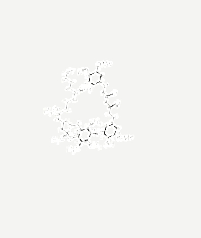 COc1cc(CCC(=O)CC(=O)CCc2ccc(O)c(OC)c2)ccc1O.Cc1c(C)c2c(c(C)c1O)CC[C@@](C)(CCC[C@H](C)CCC[C@H](C)CCCC(C)C)O2